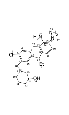 CCC(c1ccc(Cl)c(CN2CCCC(O)C2)c1)c1ccc(N(C)N)c(N)c1C